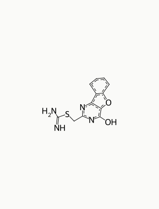 N=C(N)SCc1nc(O)c2oc3ccccc3c2n1